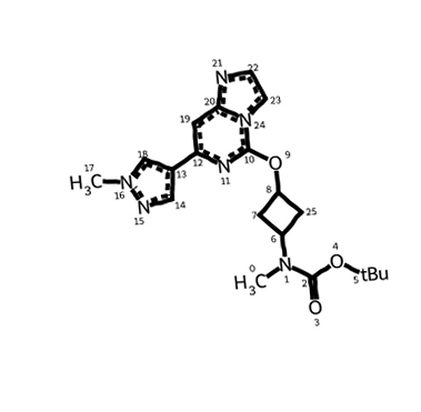 CN(C(=O)OC(C)(C)C)C1CC(Oc2nc(-c3cnn(C)c3)cc3nccn23)C1